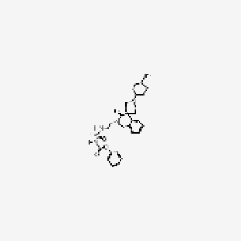 CC(C)C1CCC(N2CCC3(CC2)C(=O)N(CCNS(=O)(=O)NC(=O)Oc2ccccc2)Cc2ccccc23)CC1